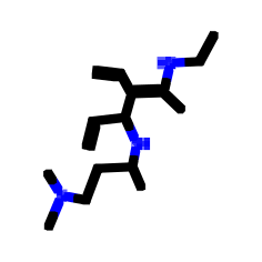 C=C/C(=C(/C)NCC)C(C=C)NC(C)CCN(C)C